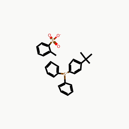 CC(C)(C)c1ccc([S+](c2ccccc2)c2ccccc2)cc1.Cc1ccccc1S(=O)(=O)[O-]